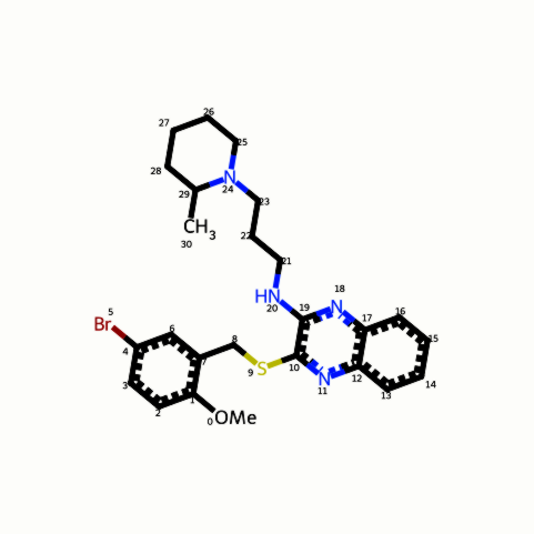 COc1ccc(Br)cc1CSc1nc2ccccc2nc1NCCCN1CCCCC1C